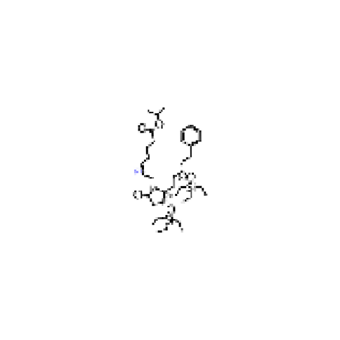 CC[Si](CC)(CC)O[C@@H](CCc1ccccc1)CC[C@H]1[C@H](O[Si](CC)(CC)CC)CC(=O)[C@@H]1C/C=C\CCCC(=O)OC(C)C